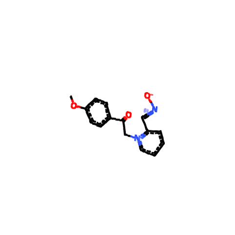 COc1ccc(C(=O)C[n+]2ccccc2/C=N/[O-])cc1